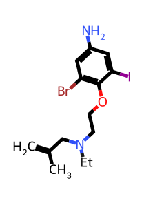 C=C(C)CN(CC)CCOc1c(Br)cc(N)cc1I